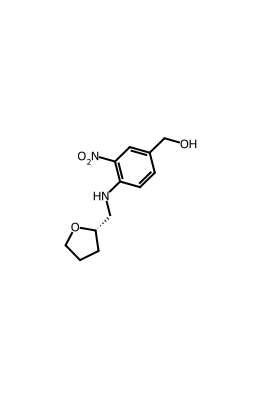 O=[N+]([O-])c1cc(CO)ccc1NC[C@@H]1CCCO1